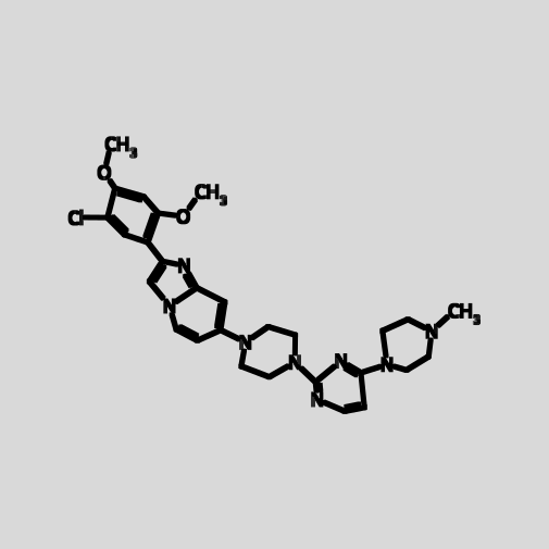 COc1cc(OC)c(-c2cn3ccc(N4CCN(c5nccc(N6CCN(C)CC6)n5)CC4)cc3n2)cc1Cl